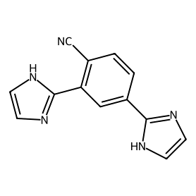 N#Cc1ccc(-c2ncc[nH]2)cc1-c1ncc[nH]1